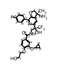 C[C@@]1(N)COc2c1cc([C@](O)(CNC(=O)c1ccc(OCCO)c(OC3CC3)c1)C(F)(F)F)nc2-c1ccc(F)cc1